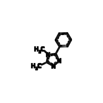 Cc1nnc(-c2ccccc2)n1C